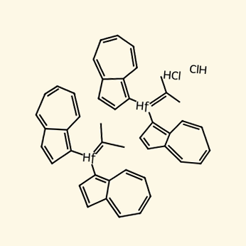 C[C](C)=[Hf]([c]1ccc2cccccc1-2)[c]1ccc2cccccc1-2.C[C](C)=[Hf]([c]1ccc2cccccc1-2)[c]1ccc2cccccc1-2.Cl.Cl